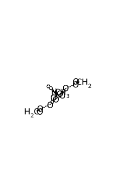 C=CC(=O)OCCCCCCOc1ccc(C(=O)Oc2ccc(OC(=O)c3ccc(OCCCCCCOC(=O)C=C)cc3)c(/C(C)=N/N=C/c3ccc4ccccc4c3)c2)cc1